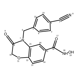 N#Cc1ccc(CN2C(=O)COc3ccc(C(=O)NO)cc32)cc1